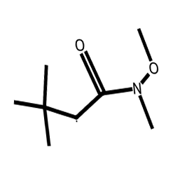 CON(C)C(=O)[CH]C(C)(C)C